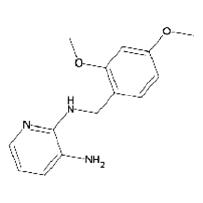 COc1ccc(CNc2ncccc2N)c(OC)c1